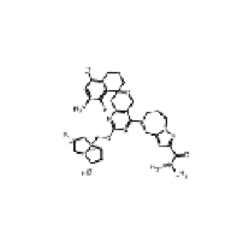 CN(C)C(=O)c1cc2n(n1)CCCN(c1nc(OC[C@@]34CCCN3C[C@H](F)C4)nc3c1COC1(CCCc4c(Cl)cc(N)c(F)c41)C3)C2.Cl